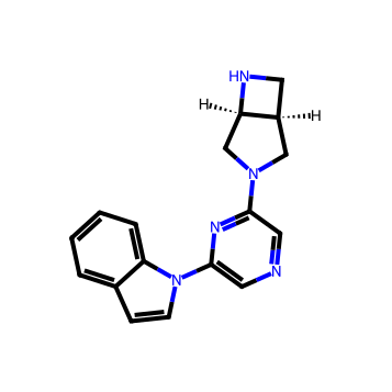 c1ccc2c(c1)ccn2-c1cncc(N2C[C@@H]3CN[C@@H]3C2)n1